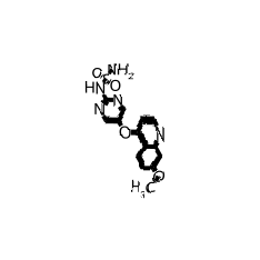 COc1ccc2c(Oc3cnc(NS(N)(=O)=O)nc3)ccnc2c1